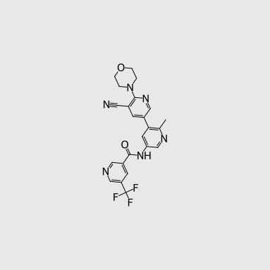 Cc1ncc(NC(=O)c2cncc(C(F)(F)F)c2)cc1-c1cnc(N2CCOCC2)c(C#N)c1